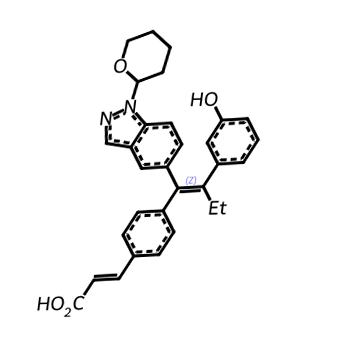 CC/C(=C(\c1ccc(C=CC(=O)O)cc1)c1ccc2c(cnn2C2CCCCO2)c1)c1cccc(O)c1